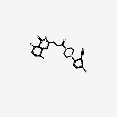 Cc1ccc(F)c2c(=O)[nH]c(CCC(=O)N3CCN(c4ccc(F)cc4C#N)CC3)cc12